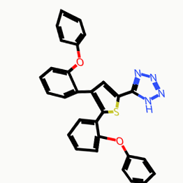 c1ccc(Oc2ccccc2-c2cc(-c3nnn[nH]3)sc2-c2ccccc2Oc2ccccc2)cc1